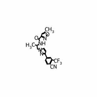 Cc1cc(C(=O)NC(C)Cn2ccc(-c3ccc(C#N)c(C(F)(F)F)c3)n2)no1